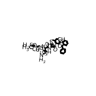 C=CC1=C(C(=O)OC(c2ccccc2)c2ccccc2)N2C(=O)C(NC(=O)/C(=N/OCC(=O)OC(C)(C)C)c3csc(N)n3)[C@H]2SC1